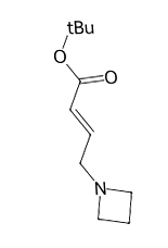 CC(C)(C)OC(=O)/C=C/CN1CCC1